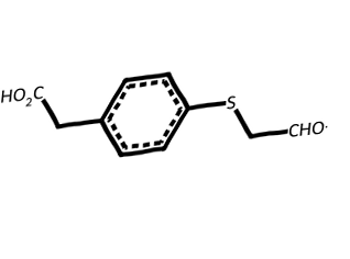 O=[C]CSc1ccc(CC(=O)O)cc1